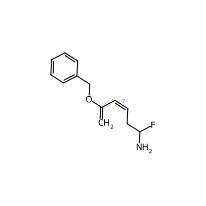 C=C(/C=C\CC(N)F)OCc1ccccc1